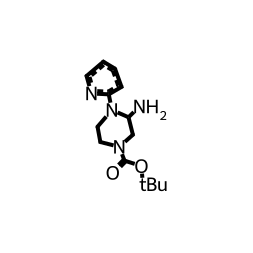 CC(C)(C)OC(=O)N1CCN(c2ccccn2)C(N)C1